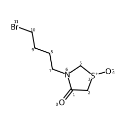 O=C1C[S+]([O-])CN1CCCCBr